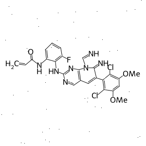 C=CC(=O)Nc1cccc(F)c1Nc1ncc2cc(-c3c(Cl)c(OC)cc(OC)c3Cl)c(=N)n(C=N)c2n1